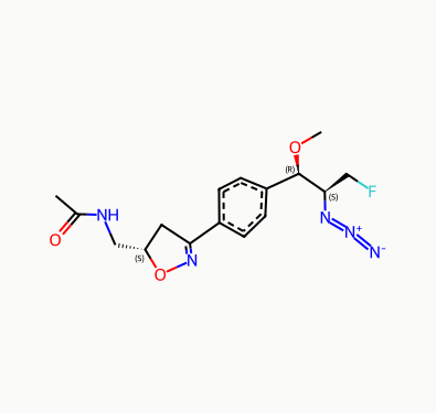 CO[C@H](c1ccc(C2=NO[C@H](CNC(C)=O)C2)cc1)[C@@H](CF)N=[N+]=[N-]